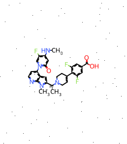 CNc1cc(=O)n(-c2ccnc3c2cc([C@@H](C)N2CC=C(c4c(F)cc(C(=O)O)cc4F)CC2)n3C)cc1F